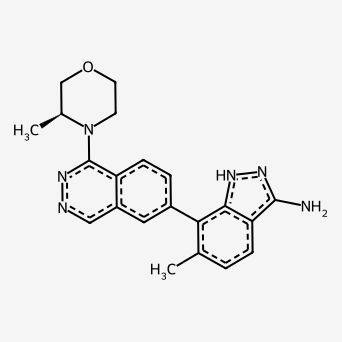 Cc1ccc2c(N)n[nH]c2c1-c1ccc2c(N3CCOC[C@@H]3C)nncc2c1